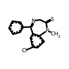 CN1C(=S)CN=C(c2ccccc2)c2cc(Cl)ccc21